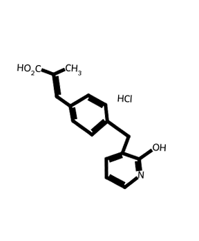 C/C(=C\c1ccc(Cc2cccnc2O)cc1)C(=O)O.Cl